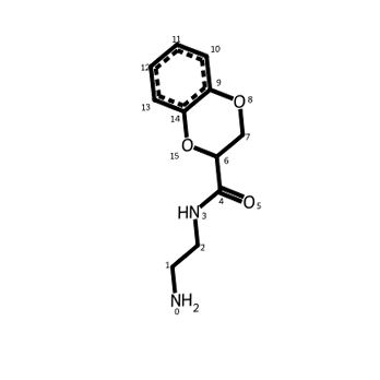 NCCNC(=O)C1COc2ccccc2O1